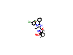 CCc1c(C(=O)N[C@H]2[C@@H]3CC[C@](C)([C@H]2O)C3(C)C)nc(-c2ccccc2Cl)n1-c1ccc(Br)cc1